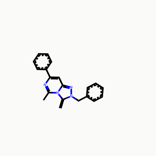 C=C1N(Cc2ccccc2)N=C2C=C(c3ccccc3)N=C(C)N12